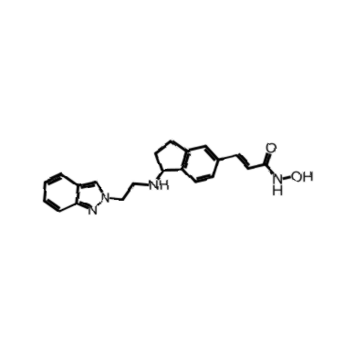 O=C(C=Cc1ccc2c(c1)CCC2NCCn1cc2ccccc2n1)NO